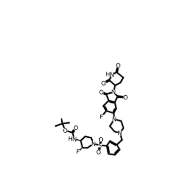 CC(C)(C)OC(=O)N[C@H]1CCN(S(=O)(=O)c2cccc(CN3CCN(c4cc5c(cc4F)C(=O)N(C4CCC(=O)NC4=O)C5=O)CC3)c2)C[C@H]1F